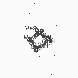 COc1ccc(C(OC[C@@H]2CC[C@H](n3cnc4c(=O)[nH]c(NC(=O)CCNC(=O)Oc5cn(C(=O)OCCS(=O)(=O)c6ccccc6)c6ccccc56)nc43)O2)(c2ccccc2)c2ccc(OC)cc2)cc1